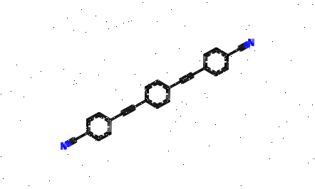 N#Cc1ccc(C#Cc2ccc(C#Cc3ccc(C#N)cc3)cc2)cc1